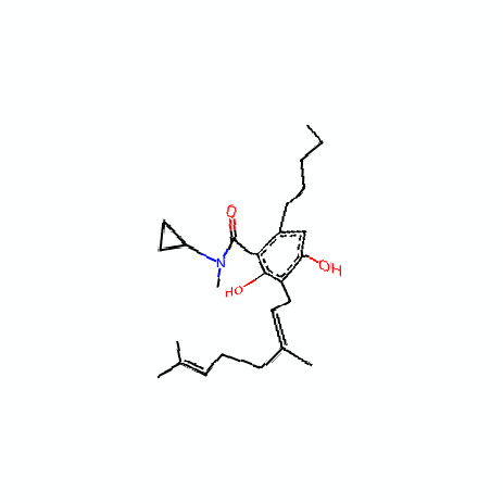 CCCCCc1cc(O)c(C/C=C(\C)CCC=C(C)C)c(O)c1C(=O)N(C)C1CC1